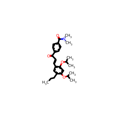 CCCc1cc(/C=C/C(=O)c2ccc(C(=O)N(C)C)cc2)c(OC(C)C)cc1OC(C)C